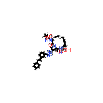 CC(C)(C)OC(=O)N[C@H]1CCCCC/C=C\[C@@H]2C[C@@]2(C(=O)O)NC(=O)[C@@H]2C[C@@H](n3nnc(-c4cccc(/C=C/c5ccccc5)c4)n3)CN2C1=O